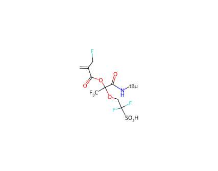 C=C(CF)C(=O)OC(OCC(F)(F)S(=O)(=O)O)(C(=O)NC(C)(C)C)C(F)(F)F